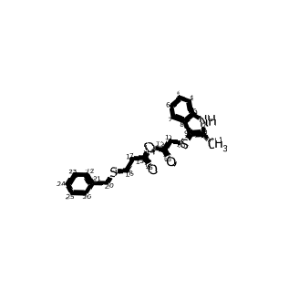 Cc1[nH]c2ccccc2c1SCC(=O)OC(=O)CCSCc1ccccc1